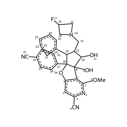 COc1nc(C#N)cc2c1C1(O)C(O)C(CN3CC(F)C3)C(c3ccccc3)C1(c1ccc(C#N)cc1)O2